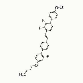 C=CCCOc1ccc(-c2ccc(/C=C/c3ccc(-c4ccc(OCC)cc4)c(F)c3F)cc2)c(F)c1